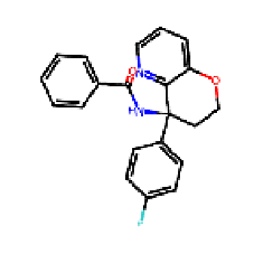 O=C(N[C@]1(c2ccc(F)cc2)CCOc2cccnc21)c1ccccc1